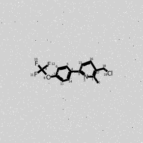 Cc1nc(-c2ccc(OC(F)(F)F)cc2)ccc1CCl